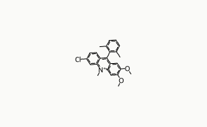 COc1cc2c(-c3c(C)cccc3C)c3ccc(Cl)cc3[n+](C)c2cc1OC